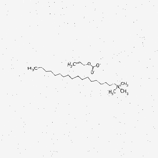 C=CCOC(=O)[O-].CCCCCCCCCCCCCCCCCC[N+](C)(C)C